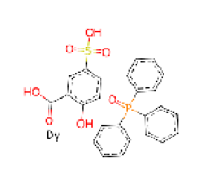 O=C(O)c1cc(S(=O)(=O)O)ccc1O.O=P(c1ccccc1)(c1ccccc1)c1ccccc1.[Dy]